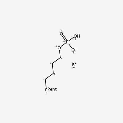 CCCCCCCCCOP(=O)([O-])O.[K+]